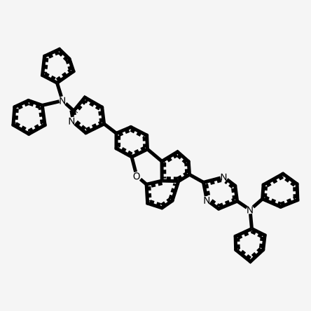 c1ccc(N(c2ccccc2)c2cnc(-c3ccc4c5c(cccc35)Oc3cc(-c5ccc(N(c6ccccc6)c6ccccc6)nc5)ccc3-4)nc2)cc1